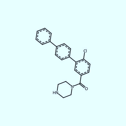 O=C(c1ccc(Cl)c(-c2ccc(-c3ccccc3)cc2)c1)N1CCNCC1